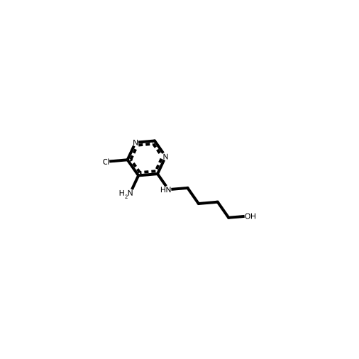 Nc1c(Cl)ncnc1NCCCCO